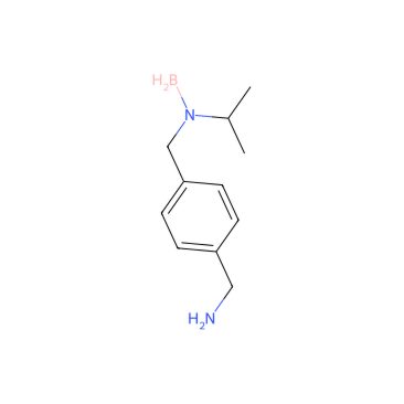 BN(Cc1ccc(CN)cc1)C(C)C